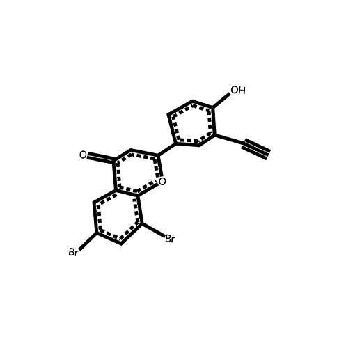 C#Cc1cc(-c2cc(=O)c3cc(Br)cc(Br)c3o2)ccc1O